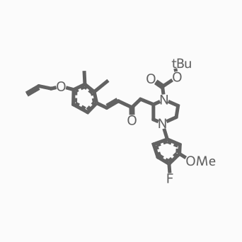 C=CCOc1ccc(/C=C/C(=O)CC2CN(c3ccc(F)c(OC)c3)CCN2C(=O)OC(C)(C)C)c(C)c1C